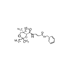 CC1(C)OCC(C)(C)C(C(=O)NC=CC(=O)OCc2ccccc2)O1